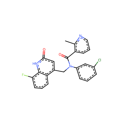 Cc1ncccc1C(=O)N(Cc1cc(=O)[nH]c2c(F)cccc12)c1cccc(Cl)c1